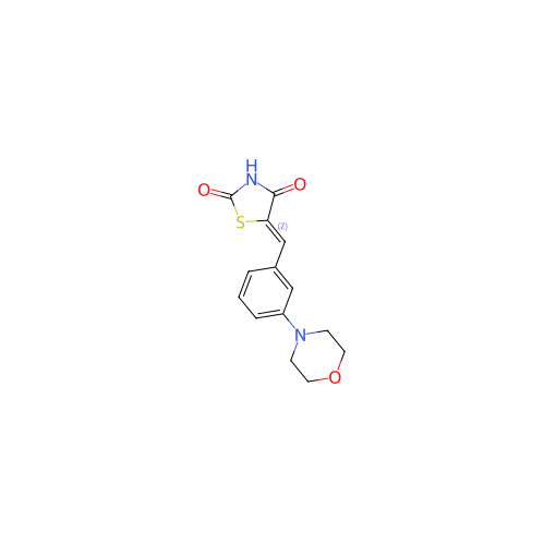 O=C1NC(=O)/C(=C/c2cccc(N3CCOCC3)c2)S1